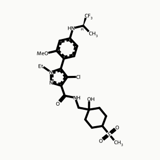 CCn1nc(C(=O)NCC2(O)CCC(S(C)(=O)=O)CC2)c(Cl)c1-c1ccc(N[C@H](C)C(F)(F)F)cc1OC